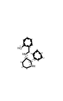 Oc1ccccc1CN[C@H]1CCCN[C@H]1c1ccccc1